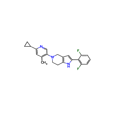 Cc1cc(C2CC2)ncc1N1CCc2[nH]c(-c3c(F)cccc3F)cc2C1